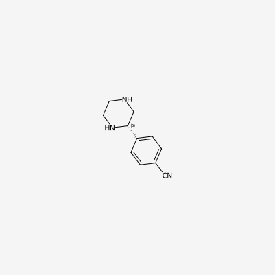 N#Cc1ccc([C@H]2CNCCN2)cc1